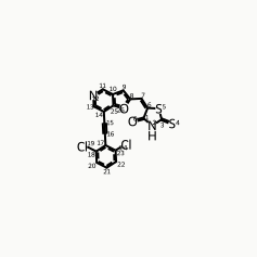 O=C1NC(=S)SC1=Cc1cc2cncc(C#Cc3c(Cl)cccc3Cl)c2o1